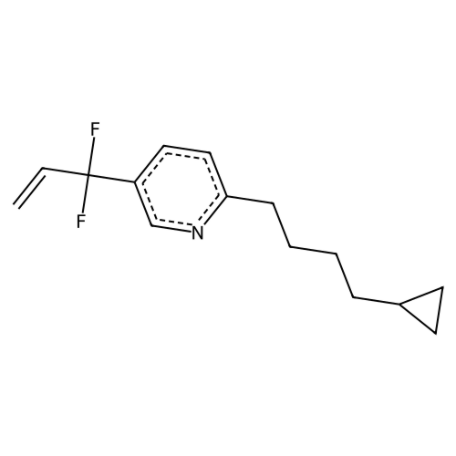 C=CC(F)(F)c1ccc(CCCCC2CC2)nc1